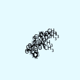 CC[C@H](C)[C@H](NC(=O)[C@@H]1CCCN1C(=O)OC(C)(C)C)C(=O)[Se]N[C@@H](CCSC)C(=O)N[C@@H](Cc1ccccc1)C(=O)O